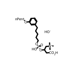 CCCCCOc1cccc(CCCCCOP(=O)(O)OC(CC(=O)O)C[N+](C)(C)C)c1.[OH-]